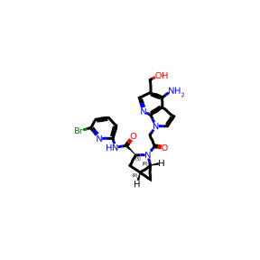 Nc1c(CO)cnc2c1ccn2CC(=O)N1[C@@H]2C[C@@H]2C[C@H]1C(=O)Nc1cccc(Br)n1